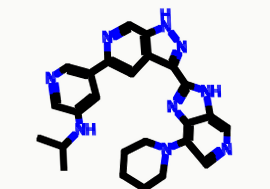 CC(C)Nc1cncc(-c2cc3c(-c4nc5c(N6CCCCC6)cncc5[nH]4)n[nH]c3cn2)c1